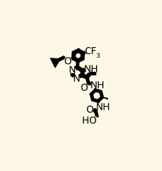 Cc1[nH]c2c(-c3cc(C(F)(F)F)ccc3OCC3CC3)ncnc2c1C(=O)N[C@@H]1CC[C@H](NC(=O)CO)[C@H](C)C1